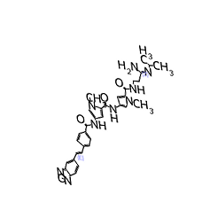 CC(C)/N=C(\N)CCNC(=O)c1cc(NC(=O)c2cc(NC(=O)c3ccc(/C=C/c4ccc5nonc5c4)cc3)cn2C)cn1C